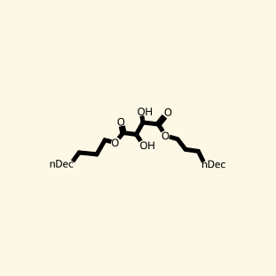 CCCCCCCCCCCCCOC(=O)C(O)C(O)C(=O)OCCCCCCCCCCCCC